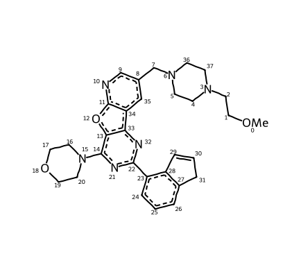 COCCN1CCN(Cc2cnc3oc4c(N5CCOCC5)nc(-c5cccc6c5C=CC6)nc4c3c2)CC1